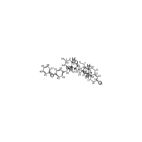 C[C@H]1C[C@H]2O[C@]3(CC[C@H]4[C@@H]5CCC6=CC(=O)CC[C@]6(C)[C@H]5CC45CC53C)[C@H](C)[C@@H]2N(Cc2ccc(Oc3ccccc3)cc2)C1